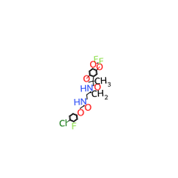 C=C(CCNC(=O)COc1ccc(Cl)c(F)c1)NC(=O)[C@]1(C)COc2cc3c(cc21)OC(F)(F)O3